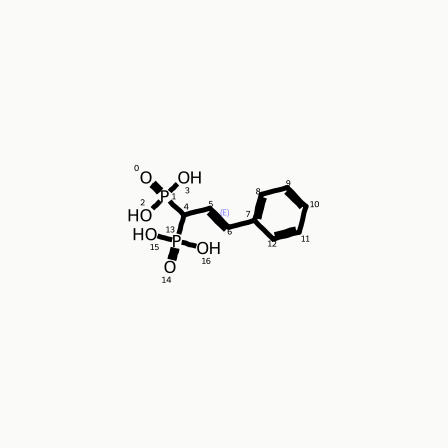 O=P(O)(O)C(/C=C/c1ccccc1)P(=O)(O)O